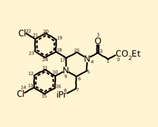 CCOC(=O)CC(=O)N1CC(CC(C)C)N(c2ccc(Cl)cc2)C(c2ccc(Cl)cc2)C1